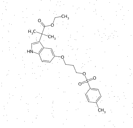 CCOC(=O)C(C)(C)c1c[nH]c2ccc(OCCCOS(=O)(=O)c3ccc(C)cc3)cc12